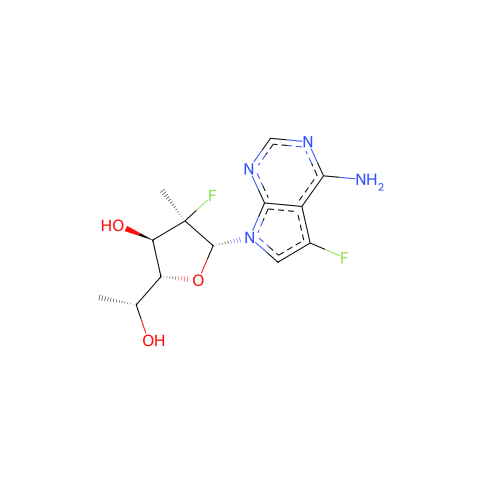 C[C@@H](O)[C@H]1O[C@@H](n2cc(F)c3c(N)ncnc32)[C@](C)(F)[C@@H]1O